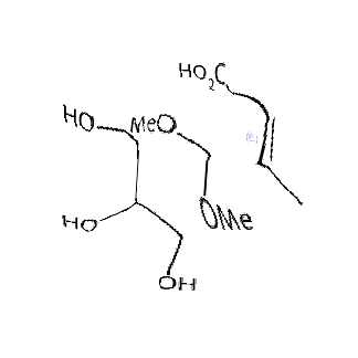 C/C=C/C(=O)O.COCOC.OCC(O)CO